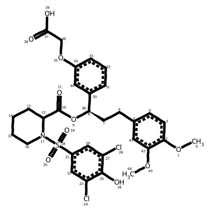 COc1ccc(CC[C@@H](OC(=O)C2CCCCN2S(=O)(=O)c2cc(Cl)c(O)c(Cl)c2)c2cccc(OCC(=O)O)c2)cc1OC